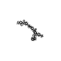 O=C1CCC(N2Cc3cc(N4CC(F)(CN5CCC(N6Cc7cc(NC(=O)c8cnn9cccnc89)c(N8CCC(N9CCC9)CC8)cc7C6=O)CC5)C4)ccc3C2=O)C(=O)N1